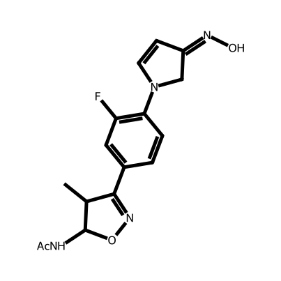 CC(=O)NC1ON=C(c2ccc(N3C=CC(=NO)C3)c(F)c2)C1C